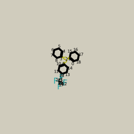 C1=C([S+](C2=CCCCC2)C2=CCCCC2)CCCC1.F[B-](F)(F)F